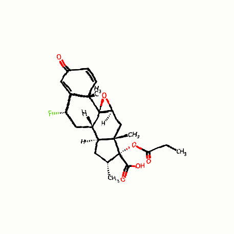 CCC(=O)O[C@]1(C(=O)O)[C@H](C)C[C@H]2[C@@H]3C[C@H](F)C4=CC(=O)C=C[C@]4(C)[C@@]34O[C@H]4C[C@@]21C